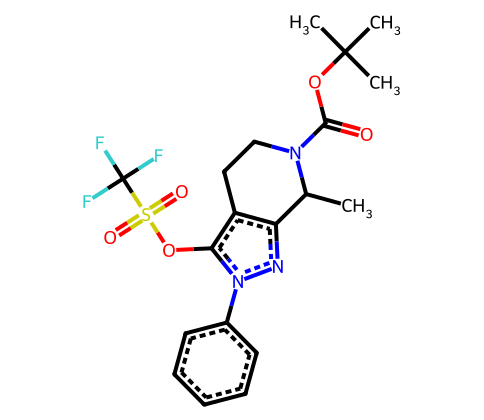 CC1c2nn(-c3ccccc3)c(OS(=O)(=O)C(F)(F)F)c2CCN1C(=O)OC(C)(C)C